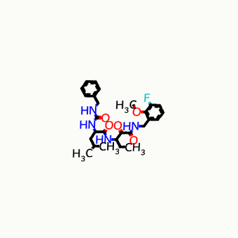 CCC(NC(=O)C(CC(C)C)NC(=O)NCc1ccccc1)C(=O)C(=O)NCc1cccc(F)c1OC